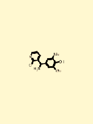 CC(C)(C)c1cc(C(N)c2cccnc2Cl)cc(C(C)(C)C)c1O